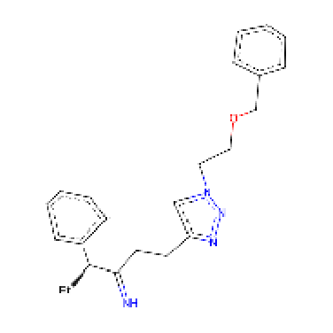 CC[C@H](C(=N)CCc1cn(CCOCc2ccccc2)nn1)c1[c]cccc1